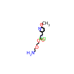 COc1ccc(/C=C/C(=O)OCCOCCN)cn1.Cl